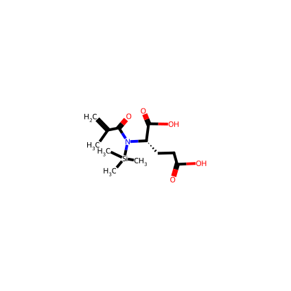 C=C(C)C(=O)N([C@@H](CCC(=O)O)C(=O)O)[Si](C)(C)C